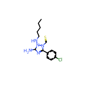 CCCCCNN1C(N)N=C(c2ccc(Cl)cc2)N1C=S